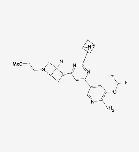 COCCN1C[C@@H]2C1CN2c1cc(-c2cnc(N)c(OC(F)F)c2)nc(N2CC3CC2C3)n1